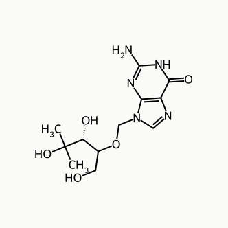 CC(C)(O)[C@H](O)C(CO)OCn1cnc2c(=O)[nH]c(N)nc21